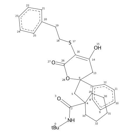 CC(C)(C)NC(=O)C1(CC2(c3ccccc3)CC(O)=C(SCCc3ccccc3)C(=O)O2)CCCCC1